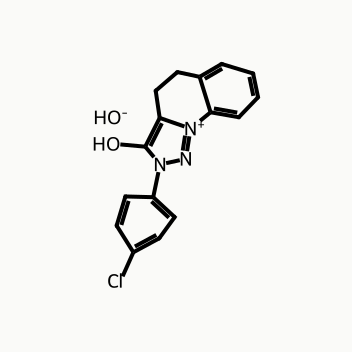 Oc1c2[n+](nn1-c1ccc(Cl)cc1)-c1ccccc1CC2.[OH-]